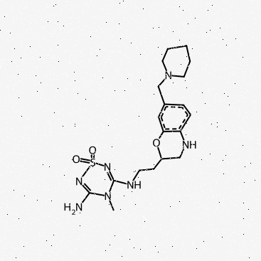 CN1C(N)=NS(=O)(=O)N=C1NCCC1CNc2ccc(CN3CCCCC3)cc2O1